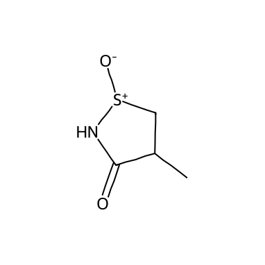 CC1C[S+]([O-])NC1=O